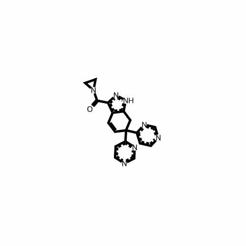 O=C(c1n[nH]c2c1C=CC(c1ccncn1)(c1ccncn1)C2)N1CC1